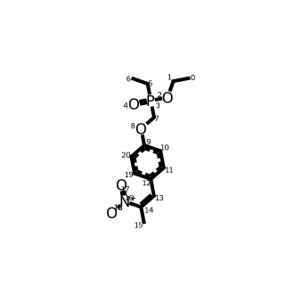 CCOP(=O)(CC)COc1ccc(C=C(C)[N+](=O)[O-])cc1